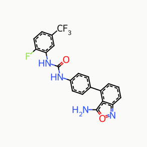 Nc1onc2cccc(-c3ccc(NC(=O)Nc4cc(C(F)(F)F)ccc4F)cc3)c12